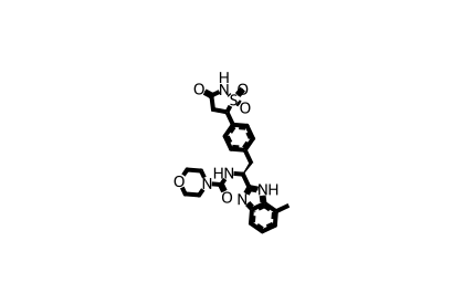 Cc1cccc2nc([C@H](Cc3ccc(C4CC(=O)NS4(=O)=O)cc3)NC(=O)N3CCOCC3)[nH]c12